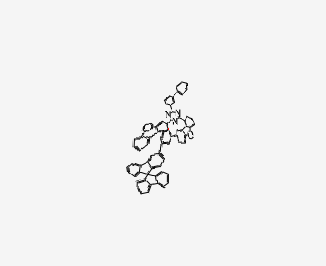 c1ccc(-c2cccc(-c3nc(-c4ccc5c(c4)oc4ccccc45)nc(-c4cccc5oc6ccc(-c7cccc(-c8ccc9c(c8)-c8ccccc8C98c9ccccc9-c9ccccc98)c7)cc6c45)n3)c2)cc1